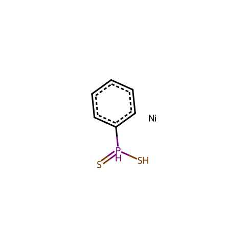 S=[PH](S)c1ccccc1.[Ni]